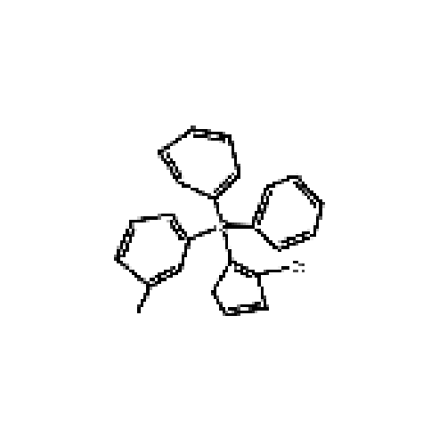 CCC1=C([Si](c2ccccc2)(c2ccccc2)c2cccc(C)c2)CC=C1